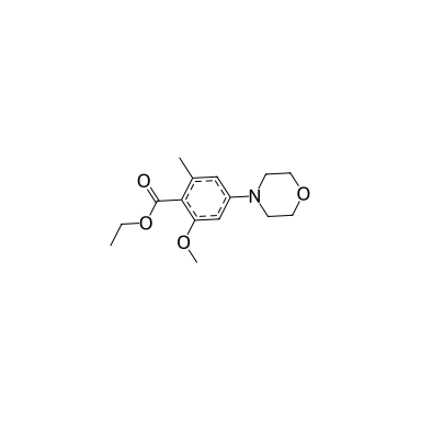 CCOC(=O)c1c(C)cc(N2CCOCC2)cc1OC